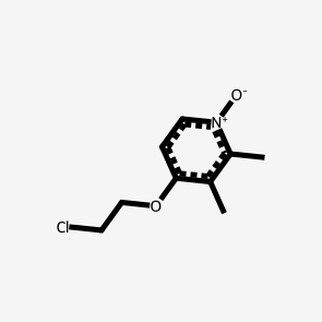 Cc1c(OCCCl)cc[n+]([O-])c1C